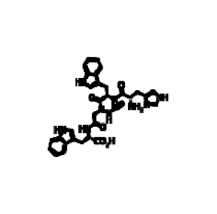 C#CNN(CC(=O)N[C@@H](Cc1c[nH]c2ccccc12)C(=O)O)C(=O)[C@@H](Cc1c[nH]c2ccccc12)NC(=O)[C@@H](N)Cc1c[nH]cn1